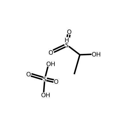 CC(O)[SH](=O)=O.O=S(=O)(O)O